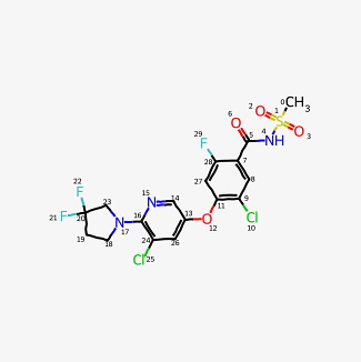 CS(=O)(=O)NC(=O)c1cc(Cl)c(Oc2cnc(N3CCC(F)(F)C3)c(Cl)c2)cc1F